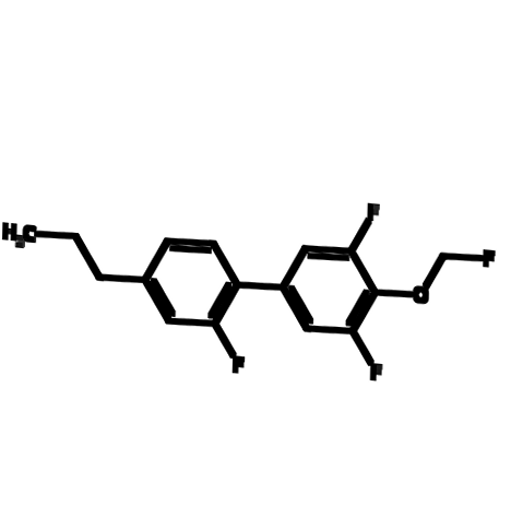 CCCc1ccc(-c2cc(F)c(OCF)c(F)c2)c(F)c1